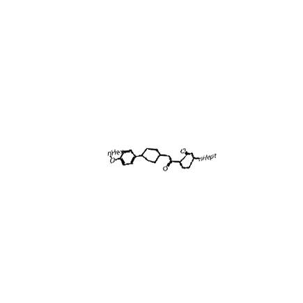 CCCCCCCC1CCC(C(=O)CC2CCC(c3ccc(OCCCCCC)cc3)CC2)C(=O)C1